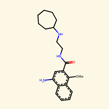 COc1c(C(=O)NCCNC2CCCCCC2)cc(N)c2ccccc12